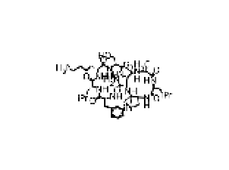 CC(C)C[C@@H]1NC(=O)[C@H](C)NC(=O)[C@H](NC(=O)[C@H](CO)NC(=O)[C@@H](CCCCN)NC(=O)[C@@H](CC(C)C)NC(=O)[C@@H](N)Cc2ccccc2)[C@H](C(N)=O)NC(=O)[C@H](CC(C)C)NC1=O